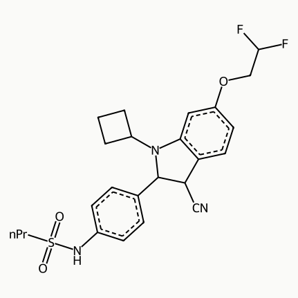 CCCS(=O)(=O)Nc1ccc(C2C(C#N)c3ccc(OCC(F)F)cc3N2C2CCC2)cc1